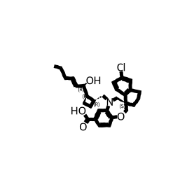 CCCC=C[C@H](O)[C@@H]1CC[C@H]1CN1C[C@@]2(CCCc3cc(Cl)ccc32)COc2ccc(C(=O)O)cc21